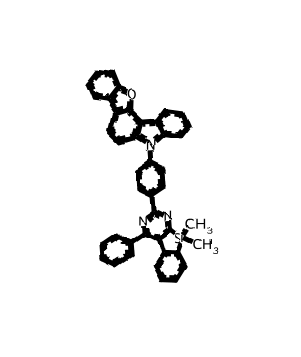 C[Si]1(C)c2ccccc2-c2c(-c3ccccc3)nc(-c3ccc(-n4c5ccccc5c5c6oc7ccccc7c6ccc54)cc3)nc21